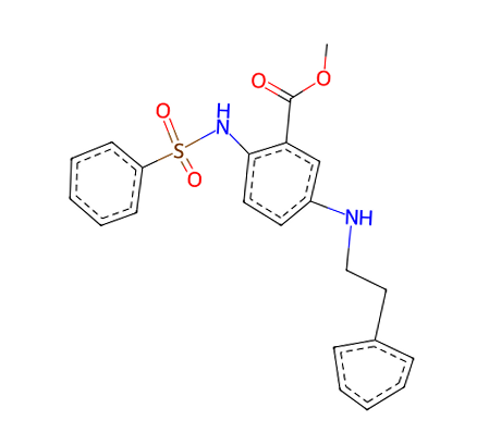 COC(=O)c1cc(NCCc2ccccc2)ccc1NS(=O)(=O)c1ccccc1